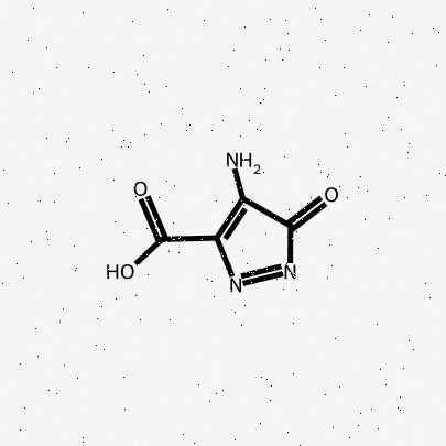 NC1=C(C(=O)O)N=NC1=O